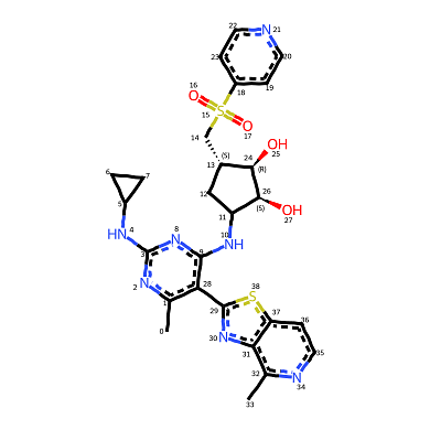 Cc1nc(NC2CC2)nc(NC2C[C@H](CS(=O)(=O)c3ccncc3)[C@@H](O)[C@H]2O)c1-c1nc2c(C)nccc2s1